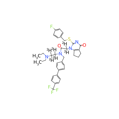 [2H]C([2H])(C(=O)N(Cc1ccc(-c2ccc(C(F)(F)F)cc2)cc1)C([2H])([2H])C([2H])([2H])N(CC)CC)n1c(SCc2ccc(F)cc2)nc(=O)c2c1CCC2